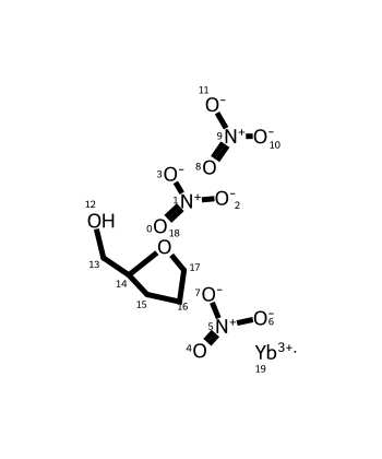 O=[N+]([O-])[O-].O=[N+]([O-])[O-].O=[N+]([O-])[O-].OCC1CCCO1.[Yb+3]